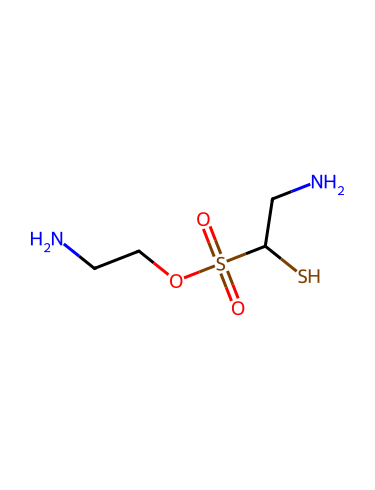 NCCOS(=O)(=O)C(S)CN